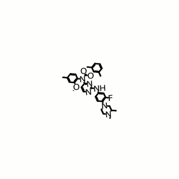 COc1cc(C)ccc1N(C(=O)Oc1c(C)cccc1C)c1ccnc(Nc2ccc(N3CCN(C)C(C)C3)c(F)c2)n1